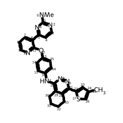 CNc1nccc(-c2cccnc2Oc2ccc(Nc3nnc(-c4cc(C)cs4)c4c3CCCC4)cc2)n1